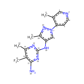 Cc1cnccc1-n1cc(Nc2nc(C)c(C(F)(F)F)c(N)n2)c(C)n1